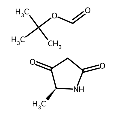 CC(C)(C)OC=O.C[C@@H]1NC(=O)CC1=O